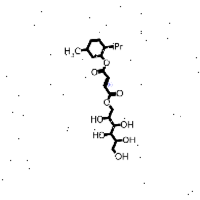 CC1CCC(C(C)C)C(OC(=O)/C=C/C(=O)OCC(O)C(O)C(O)C(O)CO)C1